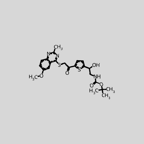 COc1ccc2nc(C)nc(SCC(=O)c3ccc(C(O)CNC(=O)OC(C)(C)C)s3)c2c1